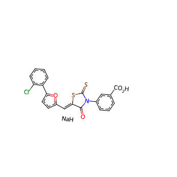 O=C(O)c1cccc(N2C(=O)C(=Cc3ccc(-c4ccccc4Cl)o3)SC2=S)c1.[NaH]